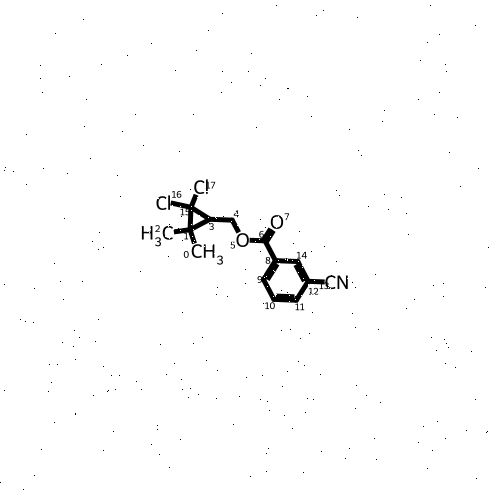 CC1(C)C(COC(=O)c2cccc(C#N)c2)C1(Cl)Cl